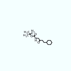 CC(C)(C)OC(=O)NCC(=O)CCC1CCCCC1